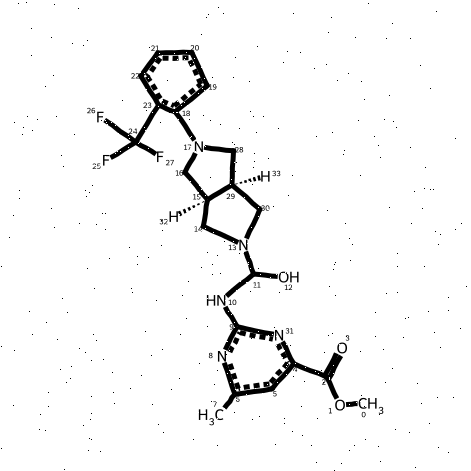 COC(=O)c1cc(C)nc(NC(O)N2C[C@H]3CN(c4ccccc4C(F)(F)F)C[C@H]3C2)n1